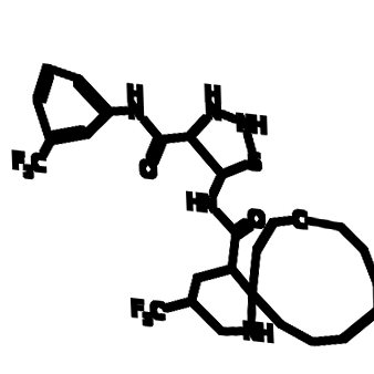 O=C(Nc1cccc(C(F)(F)F)c1)C1NNSC1NC(=O)C1CC(C(F)(F)F)CNC12CCCCCCCCCC2